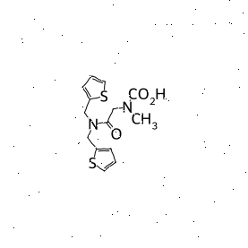 CN(CC(=O)N(Cc1cccs1)Cc1cccs1)C(=O)O